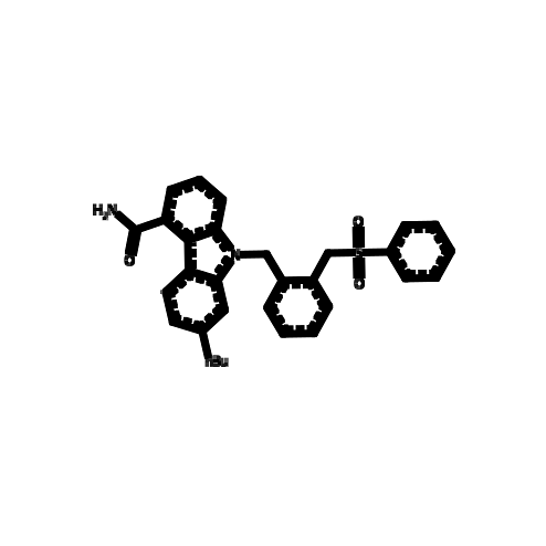 CCCCc1c[c]c2c3c(C(N)=O)cccc3n(Cc3ccccc3CS(=O)(=O)c3ccccc3)c2c1